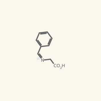 O=C(O)C/N=C\c1ccccc1